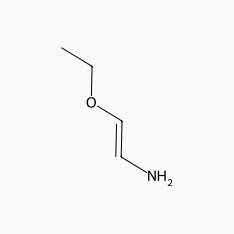 CCOC=CN